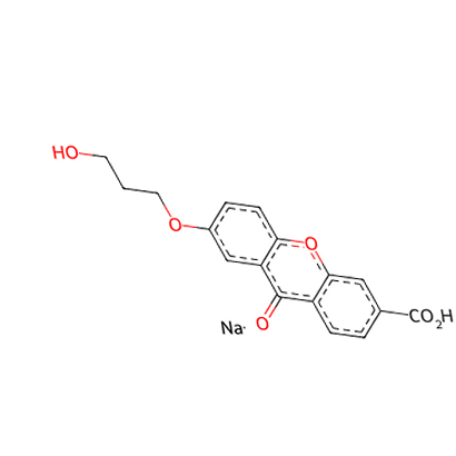 O=C(O)c1ccc2c(=O)c3cc(OCCCO)ccc3oc2c1.[Na]